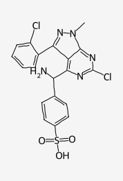 Cn1nc(-c2ccccc2Cl)c2c(C(N)c3ccc(S(=O)(=O)O)cc3)nc(Cl)nc21